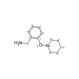 NCc1ccccc1ON1CCCCC1